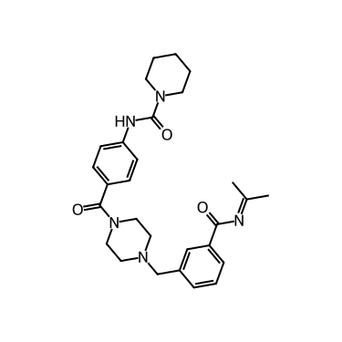 CC(C)=NC(=O)c1cccc(CN2CCN(C(=O)c3ccc(NC(=O)N4CCCCC4)cc3)CC2)c1